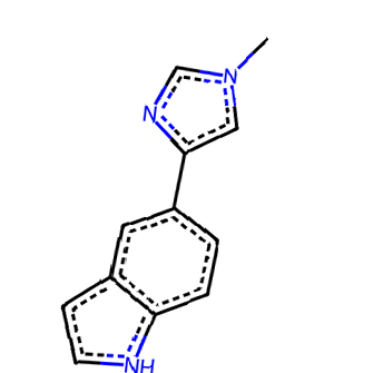 Cn1cnc(-c2ccc3[nH]ccc3c2)c1